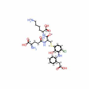 NCCCCC(NC(=O)C(CSc1ccc(Cl)c(Nc2ccccc2CC(=O)O)c1O)NC(=O)CCC(N)C(=O)O)C(=O)O